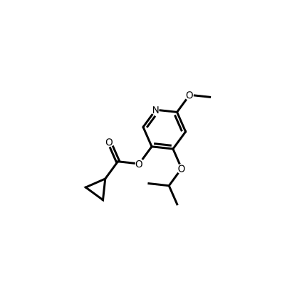 COc1cc(OC(C)C)c(OC(=O)C2CC2)cn1